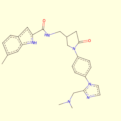 Cc1ccc2cc(C(=O)NCC3CC(=O)N(c4ccc(-n5ccnc5CN(C)C)cc4)C3)[nH]c2c1